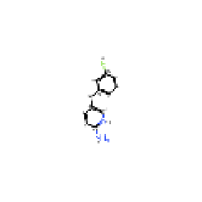 Nc1ccc(Cc2cccc(F)c2)cn1